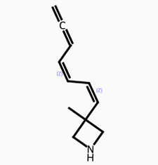 C=C=C/C=C\C=C/C1(C)CNC1